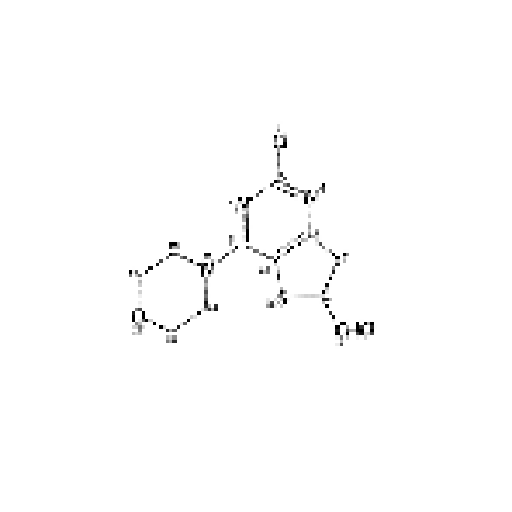 O=CC1Cc2nc(Cl)nc(N3CCOCC3)c2S1